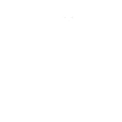 CC(CCCCCc1cccc2ccccc12)C(=O)O